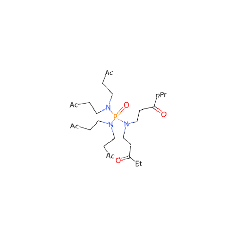 CCCC(=O)CCN(CCC(=O)CC)P(=O)(N(CCC(C)=O)CCC(C)=O)N(CCC(C)=O)CCC(C)=O